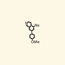 COc1ccc(-c2c[c]([Na])c3ccncc3c2)cc1